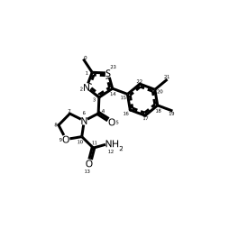 Cc1nc(C(=O)N2CCOC2C(N)=O)c(-c2ccc(C)c(C)c2)s1